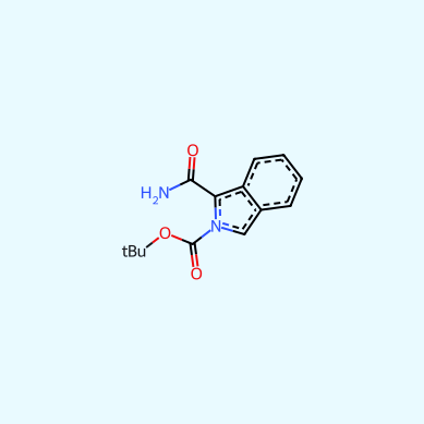 CC(C)(C)OC(=O)n1cc2ccccc2c1C(N)=O